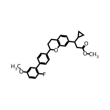 COC(=O)CC(c1ccc2c(c1)OC(c1ccc(-c3cc(OC)ccc3F)cc1)CC2)C1CC1